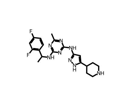 Cc1nc(Nc2cc(C3CCNCC3)[nH]n2)nc(NC(C)c2ccc(F)cc2F)n1